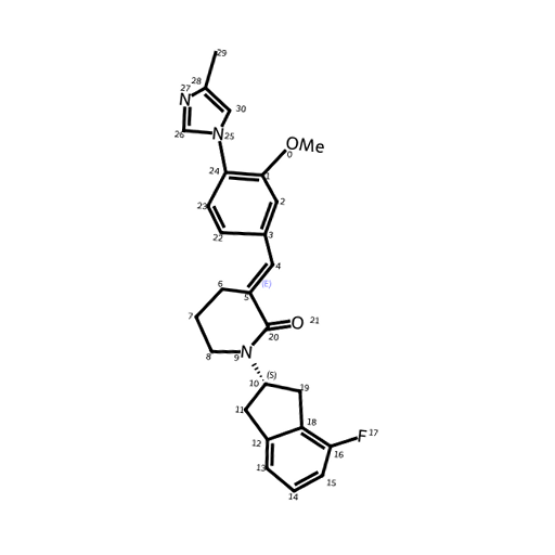 COc1cc(/C=C2\CCCN([C@H]3Cc4cccc(F)c4C3)C2=O)ccc1-n1cnc(C)c1